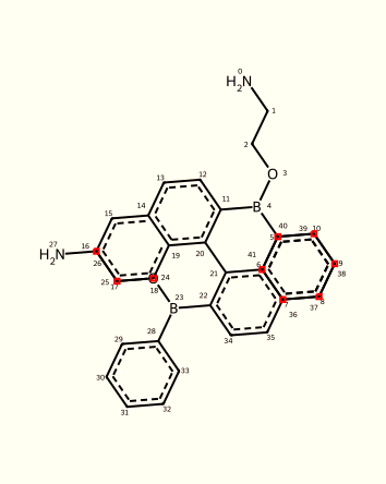 NCCOB(c1ccccc1)c1ccc2ccccc2c1-c1c(B(OCCN)c2ccccc2)ccc2ccccc12